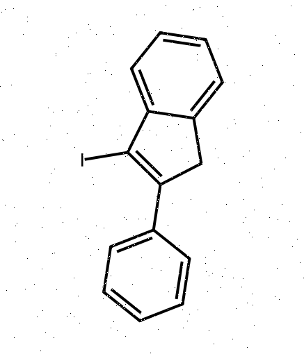 IC1=C(c2ccccc2)Cc2ccccc21